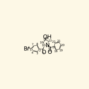 O=C(c1ccc(Br)cc1)[C@H]1C[C@@H](O)CN1C(=O)c1ccccc1